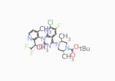 Cc1ccnc(C(C)C(F)F)c1-n1c(=O)nc(N2C[C@@H](C)N(C(=O)OC(C)(C)C)C[C@@H]2C)c2cc(F)c(Cl)nc21